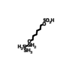 O=S(=O)(O)OCCCCCCO[SiH2][SiH2][SiH3]